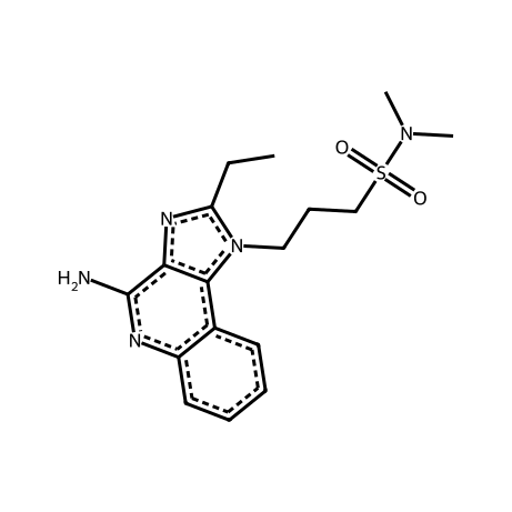 CCc1nc2c(N)nc3ccccc3c2n1CCCS(=O)(=O)N(C)C